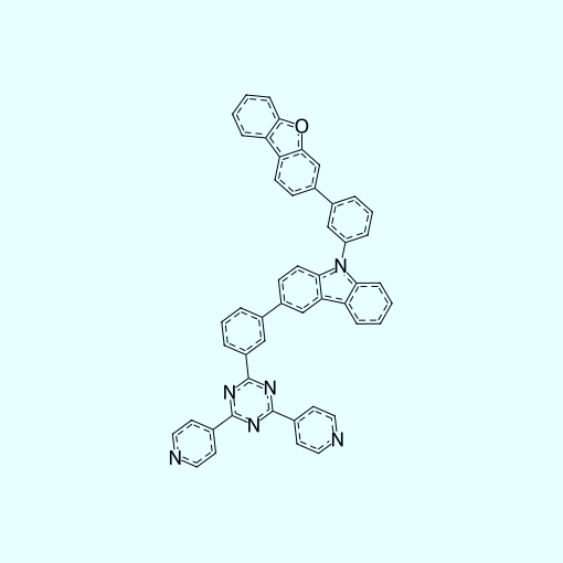 c1cc(-c2ccc3c(c2)c2ccccc2n3-c2cccc(-c3ccc4c(c3)oc3ccccc34)c2)cc(-c2nc(-c3ccncc3)nc(-c3ccncc3)n2)c1